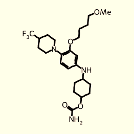 COCCCCOc1cc(NC2CCC(OC(N)=O)CC2)ccc1N1CCC(C(F)(F)F)CC1